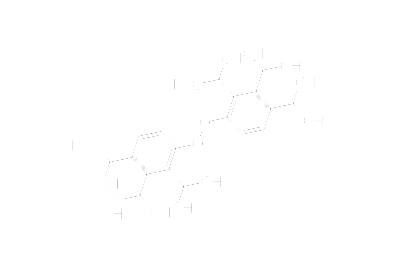 CC(C)c1ccc(OOc2ccc(C(C)C)c(C(C)C)c2C(C)C)c(C(C)C)c1C(C)C